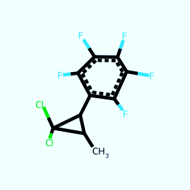 CC1C(c2c(F)c(F)c(F)c(F)c2F)C1(Cl)Cl